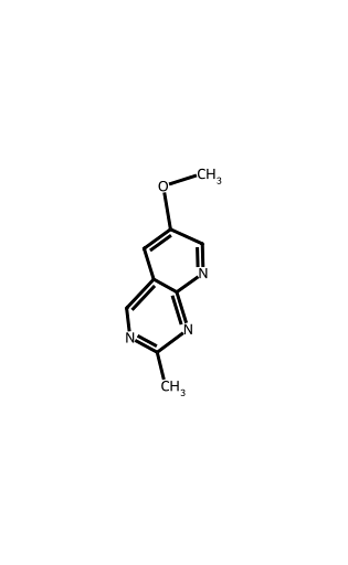 COc1cnc2nc(C)ncc2c1